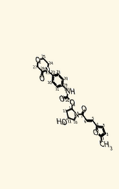 Cc1ccc(/C=C/C(=O)N2C[C@H](O)C[C@H]2OC(=O)Nc2ccc(N3CCOCC3=O)cc2)o1